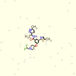 Cc1ccc([C@@H](C)NC(=O)c2cc(OC3CCN(CC(F)F)CC3)cc(-c3ncc(C)s3)c2)nn1